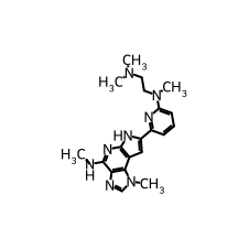 CNc1nc2[nH]c(-c3cccc(N(C)CCN(C)C)n3)cc2c2c1ncn2C